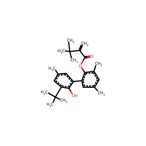 C=C(C(=O)Oc1c(C)cc(C)cc1-c1cc(C)cc(C(C)(C)C)c1O)C(C)(C)C